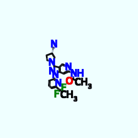 CC(=O)Nc1cc2c(cn1)c(N1CC[C@H](C#N)C1)nn2-c1cccc(C(C)(F)F)n1